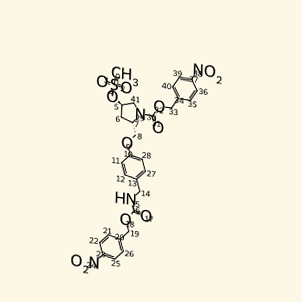 CS(=O)(=O)O[C@@H]1C[C@@H](COc2ccc(CNC(=O)OCc3ccc([N+](=O)[O-])cc3)cc2)N(C(=O)OCc2ccc([N+](=O)[O-])cc2)C1